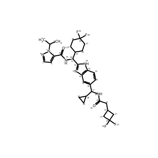 CC(C)n1nccc1C(=O)N[C@H](c1nc2cc(C(NC(=O)CC3CC(F)(F)C3)C3CC3)ccc2[nH]1)C1CCC(F)(F)CC1